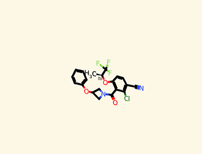 C[C@H](Oc1ccc(C#N)c(Cl)c1C(=O)N1CC(Oc2ccccc2)C1)C(F)(F)F